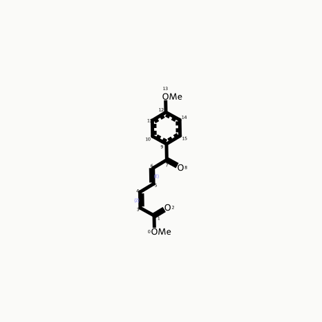 COC(=O)/C=C\C=C\C(=O)c1ccc(OC)cc1